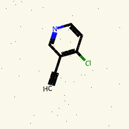 C#Cc1cnccc1Cl